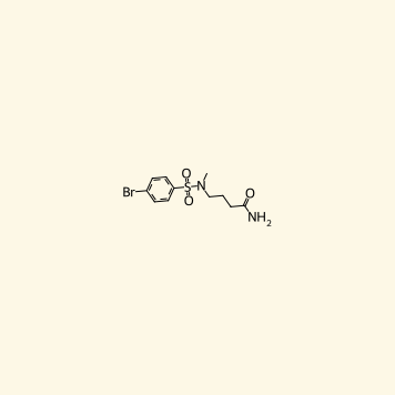 CN(CCCC(N)=O)S(=O)(=O)c1ccc(Br)cc1